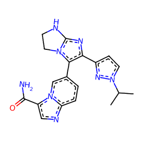 CC(C)n1ccc(-c2nc3n(c2-c2ccc4ncc(C(N)=O)n4c2)CCN3)n1